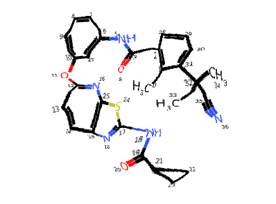 Cc1c(C(=O)Nc2cccc(Oc3ccc4nc(NC(=O)C5CC5)sc4n3)c2)cccc1C(C)(C)C#N